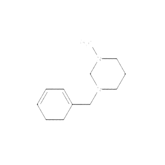 CN1CCCN(CC2=CC=CCC2)C1